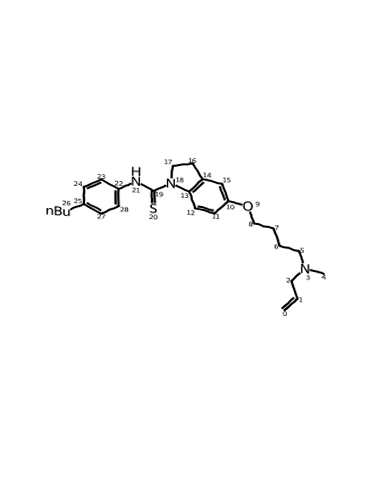 C=CCN(C)CCCCOc1ccc2c(c1)CCN2C(=S)Nc1ccc(CCCC)cc1